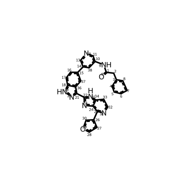 O=C(Cc1ccccc1)Nc1cncc(-c2ccc3[nH]nc(-c4nc5c(-c6ccoc6)nccc5[nH]4)c3c2)c1